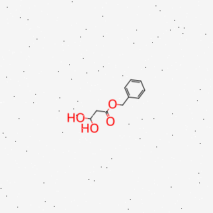 O=C(CC(O)O)OCc1ccccc1